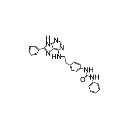 O=C(Nc1ccccc1)Nc1ccc(CCNc2ncnc3[nH]c(-c4ccccc4)nc23)cc1